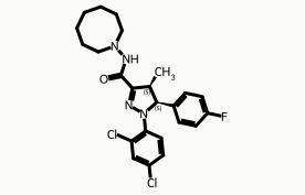 C[C@@H]1C(C(=O)NN2CCCCCCC2)=NN(c2ccc(Cl)cc2Cl)[C@@H]1c1ccc(F)cc1